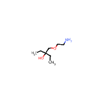 CCC(O)(CC)COCCN